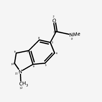 CNC(=O)c1ccc2c(c1)CCN2C